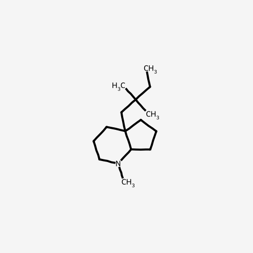 CCC(C)(C)CC12CCCC1N(C)CCC2